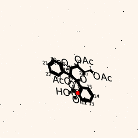 CC(=O)OC[C@H]1O[C@](OP(=O)(O)O)(c2ccccc2)[C@](OC(C)=O)(c2ccccc2)[C@@H](OC(C)=O)[C@@H]1OC(C)=O